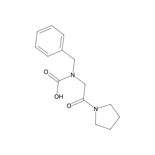 O=C(O)N(CC(=O)N1CCCC1)Cc1ccccc1